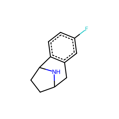 Fc1ccc2c(c1)CC1CCC2N1